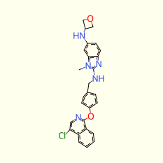 Cn1c(NCc2ccc(Oc3ncc(Cl)c4ccccc34)cc2)nc2ccc(NC3COC3)cc21